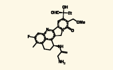 C=C(CN)N[C@H]1CCc2c(C)c(F)cc3nc4c(c1c23)Cn1c-4cc([C@@](O)(C=O)CC)c(COC)c1=O